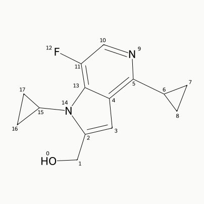 OCc1cc2c(C3CC3)ncc(F)c2n1C1CC1